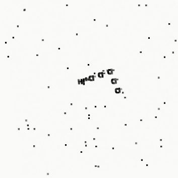 [Cl-].[Cl-].[Cl-].[Cl-].[Cl-].[Hf+4]